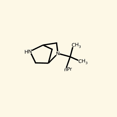 CCCC(C)(C)N1CC2CC1CN2